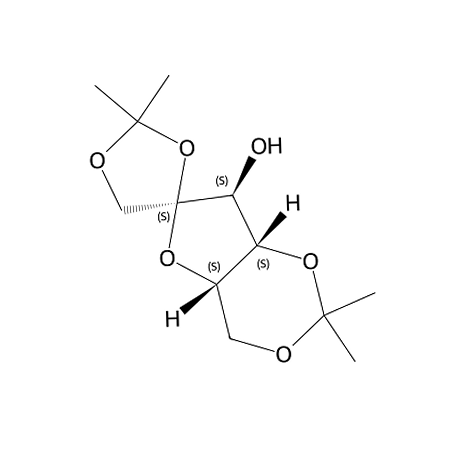 CC1(C)OC[C@@H]2O[C@]3(COC(C)(C)O3)[C@@H](O)[C@@H]2O1